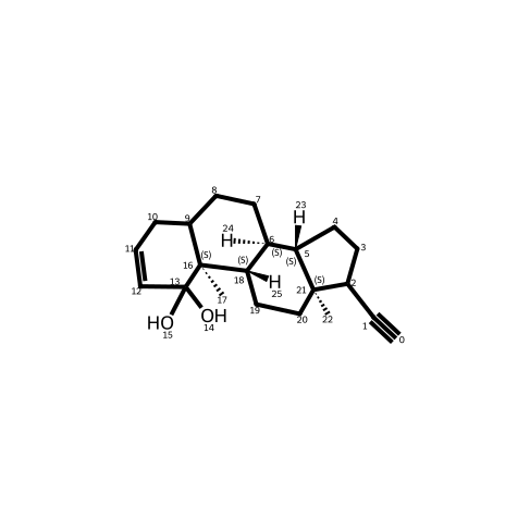 C#CC1CC[C@H]2[C@@H]3CCC4CC=CC(O)(O)[C@]4(C)[C@H]3CC[C@]12C